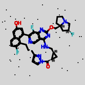 CCc1c(F)ccc2cc(O)cc(-c3ncc4c(NC[C@H]5C[C@@H]5C(=O)n5ccc(C)n5)nc(OC[C@@]56CCCN5C[C@H](F)C6)nc4c3F)c12